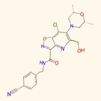 C[C@@H]1CN(c2c(CO)nc3c(C(=O)NCc4ccc(C#N)cc4)noc3c2Cl)C[C@H](C)O1